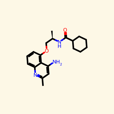 Cc1cc(N)c2c(OC[C@@H](C)NC(=O)C3CCCCC3)cccc2n1